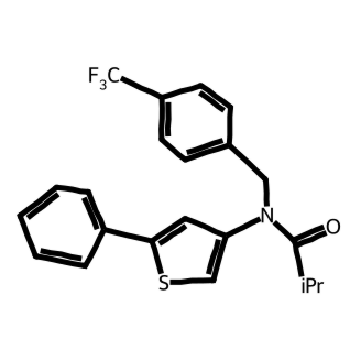 CC(C)C(=O)N(Cc1ccc(C(F)(F)F)cc1)c1csc(-c2ccccc2)c1